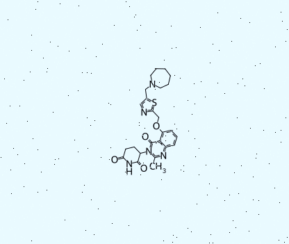 Cc1nc2cccc(OCc3ncc(CN4CCCCCC4)s3)c2c(=O)n1C1CCC(=O)NC1=O